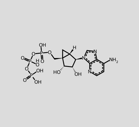 Nc1ccnc2c1ncn2[C@H]1[C@H](O)[C@H](O)[C@]2(COP(=O)(O)OP(=O)(O)OP(=O)(O)O)C[C@H]12